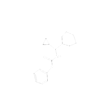 O=C(NC(C1CCCCC1)C1CC1)Oc1ccccc1